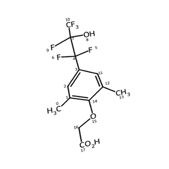 Cc1cc(C(F)(F)C(O)(F)C(F)(F)F)cc(C)c1OCC(=O)O